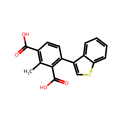 Cc1c(C(=O)O)ccc(-c2csc3ccccc23)c1C(=O)O